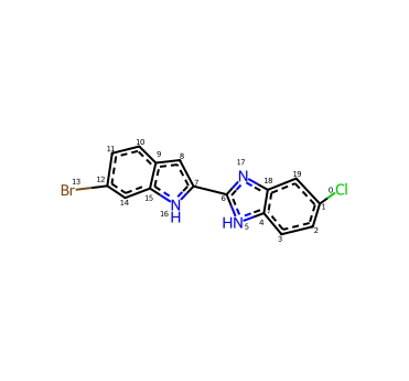 Clc1ccc2[nH]c(-c3cc4ccc(Br)cc4[nH]3)nc2c1